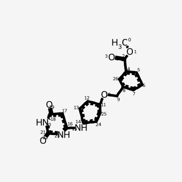 COC(=O)c1cccc(COc2ccc(Nc3cc(=O)[nH]c(=O)[nH]3)cc2)c1